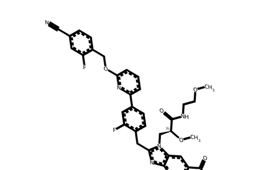 COCCNC(=O)[C@H](Cn1c(Cc2ccc(-c3cccc(OCc4ccc(C#N)cc4F)n3)cc2F)nc2ccc(C(=O)OC)cc21)OC